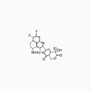 CC[C@@]1(O)C(=O)OCc2c1cc1n(c2=O)Cc2c-1nc1cc(F)c(F)c3c1c2C(NC(C)=O)CC3